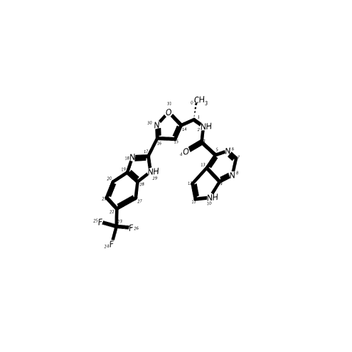 C[C@H](NC(=O)c1ncnc2[nH]ccc12)c1cc(-c2nc3ccc(C(F)(F)F)cc3[nH]2)no1